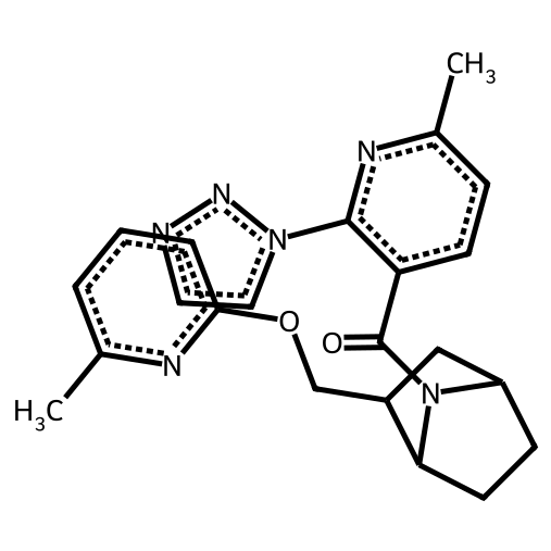 Cc1cccc(OCC2CC3CCC2N3C(=O)c2ccc(C)nc2-n2ccnn2)n1